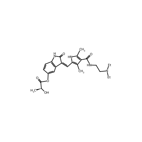 CCN(CC)CCNC(=O)c1c(C)[nH]c(/C=C2\C(=O)Nc3ccc(OC(=O)[C@H](C)O)cc32)c1C